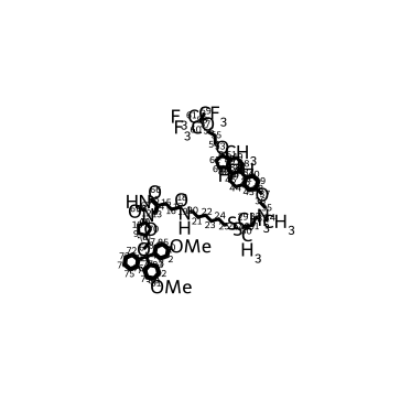 COc1ccc(C(OC[C@H]2[CH]C[C@H](n3cc(CCC(=O)NCCCCCCSSC(C)(C)CCN(C)CCOc4ccc5c(c4)CC[C@H]4[C@@H]5CC[C@]5(C)[C@@H](OCCCOC(C(F)(F)F)(C(F)(F)F)C(F)(F)F)CC[C@@H]45)c(=O)[nH]c3=O)O2)(c2ccccc2)c2ccc(OC)cc2)cc1